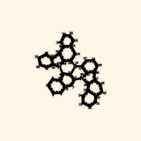 c1ccc2c3c4c(cc2c1)-n1c2c(cccc2c2ccc5ccccc5c21)B4c1cc2ccccc2c2c4ccccc4n-3c12